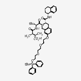 C[C@@H](C(=O)N[C@H](C(=O)N1Cc2cc(OCCOCCOCCO[Si](c3ccccc3)(c3ccccc3)C(C)(C)C)ccc2C[C@H]1C(=O)N[C@@H]1CCCc2ccccc21)C(C)(C)C)N(C)C(=O)O